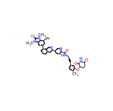 CC(C)c1cc(-c2cccc3cc(-c4ccc(C(=O)NCC#Cc5ccc(C(F)(F)F)c(OC6CCC(=O)NC6=O)c5)nc4)ncc23)cc2c1n(C)c(=O)n2C